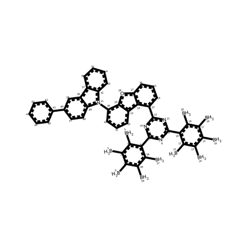 Bc1c(B)c(B)c(-c2nc(-c3c(B)c(B)c(B)c(B)c3B)nc(-c3cccc4oc5c(-n6c7ccccc7c7cc(-c8ccccc8)ccc76)cccc5c34)n2)c(B)c1B